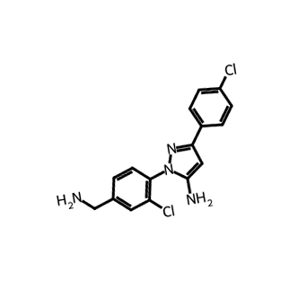 NCc1ccc(-n2nc(-c3ccc(Cl)cc3)cc2N)c(Cl)c1